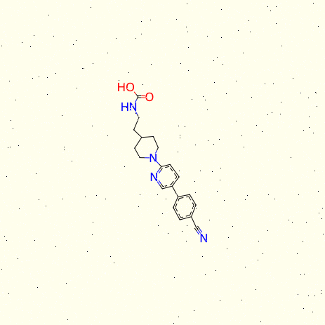 N#Cc1ccc(-c2ccc(N3CCC(CCNC(=O)O)CC3)nc2)cc1